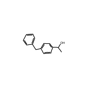 CC(O)c1[c]cc(Cc2ccccc2)cc1